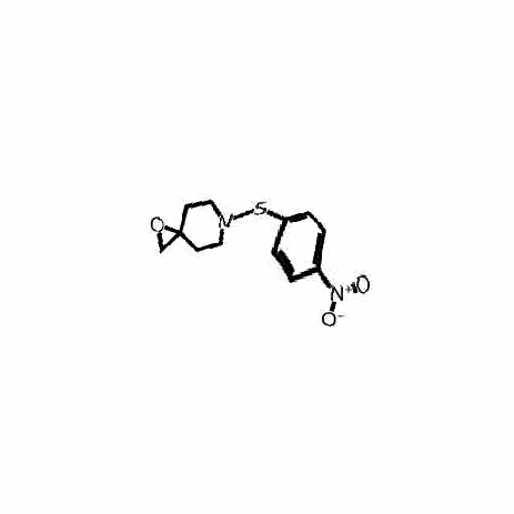 O=[N+]([O-])c1ccc(SN2CCC3(CC2)CO3)cc1